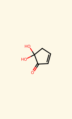 O=C1C=CCC1(O)O